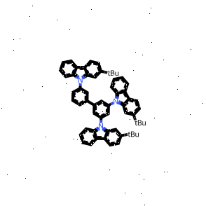 CC(C)(C)c1ccc2c3ccccc3n(-c3cccc(-c4cc(-n5c6ccccc6c6ccc(C(C)(C)C)cc65)cc(-n5c6ccccc6c6ccc(C(C)(C)C)cc65)c4)c3)c2c1